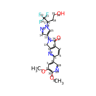 COc1cc(-c2ccc3c(n2)CN(c2cnn([C@H](CCO)C(F)(F)F)c2)C3=O)cnc1OC